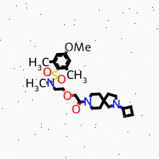 COc1cc(C)c(S(=O)(=O)N(C)CCOCC(=O)N2CCC3(CC2)CCN(C2CCC2)C3)c(C)c1